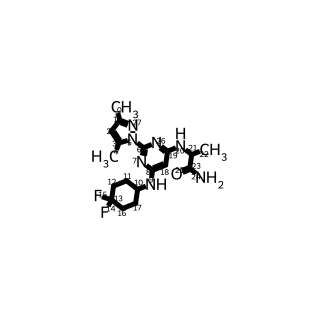 Cc1cc(C)n(-c2nc(NC3CCC(F)(F)CC3)cc(NC(C)C(N)=O)n2)n1